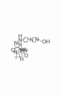 CNC(=O)[C@H]1C[C@H]2C[C@H](C2(C)C)[C@@]1(C)Nc1nc(Nc2ccc(N3CCN(CCO)CC3)cc2)ncc1Cl